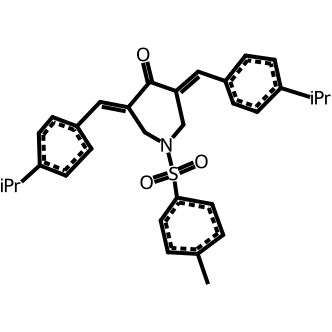 Cc1ccc(S(=O)(=O)N2C/C(=C\c3ccc(C(C)C)cc3)C(=O)/C(=C/c3ccc(C(C)C)cc3)C2)cc1